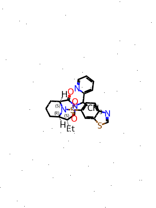 CC[C@H]1CN(C(C)c2ccccn2)C(=O)[C@@H]2CCC[C@H]1N2S(=O)(=O)c1ccc2ncsc2c1